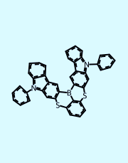 c1ccc(-n2c3ccccc3c3cc4c(cc32)Sc2cccc3c2B4c2cc4c5ccccc5n(-c5ccccc5)c4cc2S3)cc1